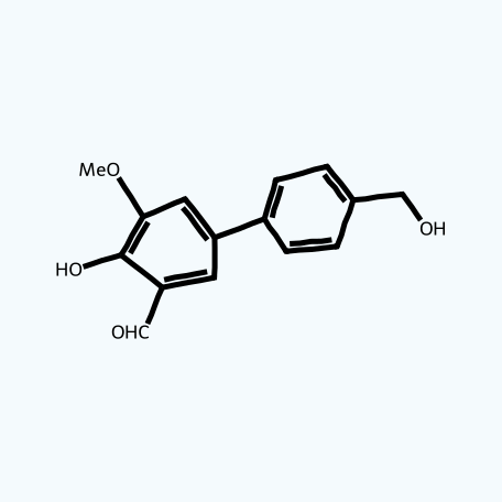 COc1cc(-c2ccc(CO)cc2)cc(C=O)c1O